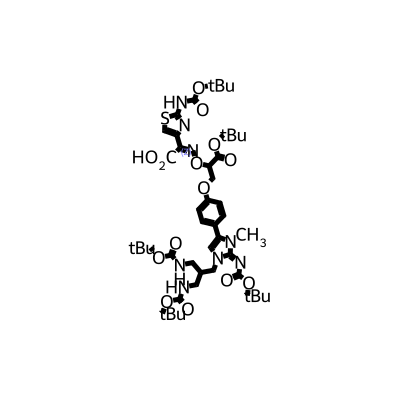 Cn1c(-c2ccc(OCC(O/N=C(\C(=O)O)c3csc(NC(=O)OC(C)(C)C)n3)C(=O)OC(C)(C)C)cc2)cn(CC(CNC(=O)OC(C)(C)C)CNC(=O)OC(C)(C)C)c1=NC(=O)OC(C)(C)C